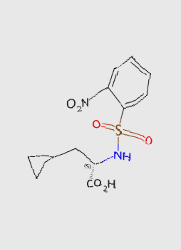 O=C(O)[C@H](CC1CC1)NS(=O)(=O)c1ccccc1[N+](=O)[O-]